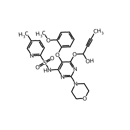 CC#CC(O)Oc1nc(N2CCOCC2)nc(NS(=O)(=O)c2ccc(C)cn2)c1Oc1ccccc1OC